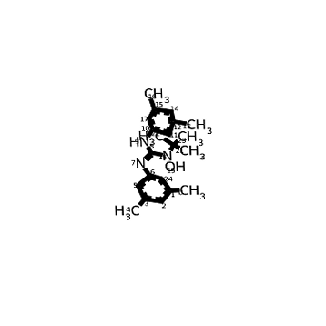 Cc1cc(C)cc(/N=C(/Nc2cc(C)cc(C)c2)N(O)C(C)(C)C)c1